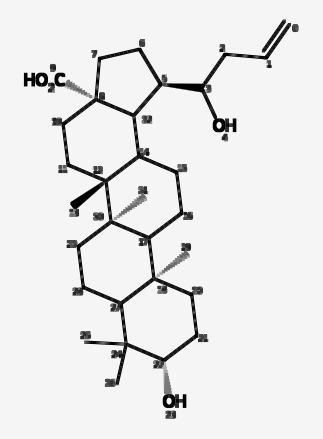 C=CCC(O)[C@@H]1CC[C@]2(C(=O)O)CC[C@]3(C)C(CCC4[C@@]5(C)CC[C@H](O)C(C)(C)C5CC[C@]43C)C12